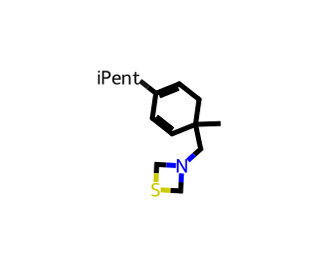 CCCC(C)C1=CCC(C)(CN2CSC2)C=C1